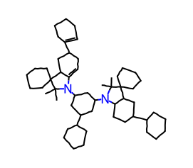 CC1(C)N(C2CC(C3CCCCC3)CC(N3C4CCC(C5CCCCC5)CC4C4(CCCCC4)C3(C)C)C2)C2=CCC(C3=CCCCC3)CC2C12CCCCC2